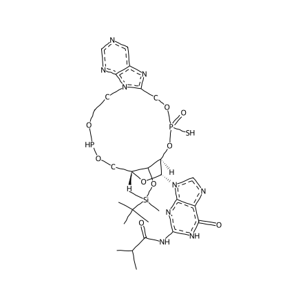 CC(C)C(=O)Nc1nc2c(ncn2[C@@H]2O[C@@H]3COPOCCn4c(nc5cncnc54)COP(=O)(S)O[C@@H]2C3O[Si](C)(C)C(C)(C)C)c(=O)[nH]1